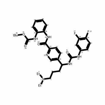 CCN(CC)CCCC(NC(=O)Nc1ccc(F)c(F)c1)c1ccc(C(=O)Nc2ccccc2NC(=O)OC(C)(C)C)nc1